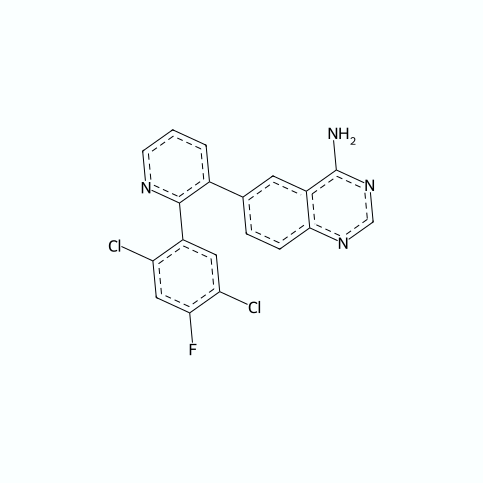 Nc1ncnc2ccc(-c3cccnc3-c3cc(Cl)c(F)cc3Cl)cc12